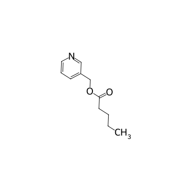 CCCCC(=O)OCc1cccnc1